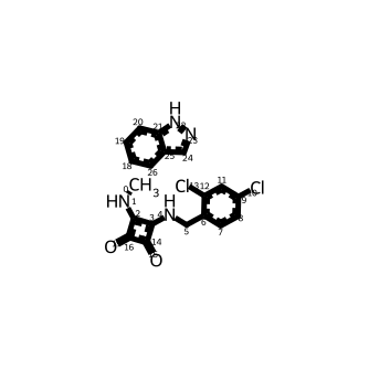 CNc1c(NCc2ccc(Cl)cc2Cl)c(=O)c1=O.c1ccc2[nH]ncc2c1